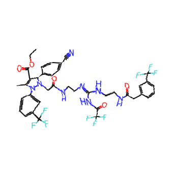 CCOC(=O)C1=C(C)N(c2cccc(C(F)(F)F)c2)N(CC(=O)NCC/N=C(/NCCNC(=O)Cc2cccc(C(F)(F)F)c2)NC(=O)C(F)(F)F)[C@@H]1c1ccc(C#N)cc1